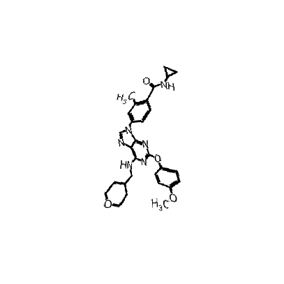 COc1ccc(Oc2nc(NCC3CCOCC3)c3ncn(-c4ccc(C(=O)NC5CC5)c(C)c4)c3n2)cc1